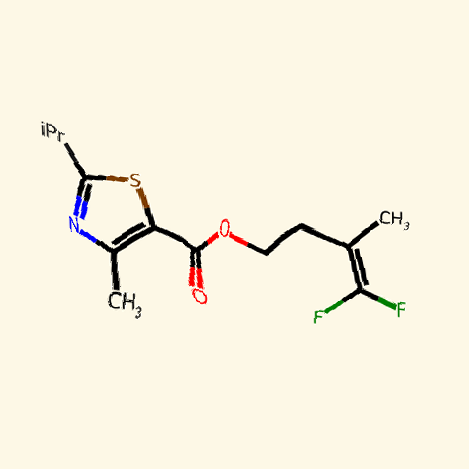 CC(CCOC(=O)c1sc(C(C)C)nc1C)=C(F)F